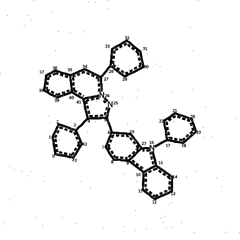 c1ccc(-c2c(-c3ccc4c5ccccc5n(-c5ccccc5)c4c3)nn3c(-c4ccccc4)cc4ccccc4c23)cc1